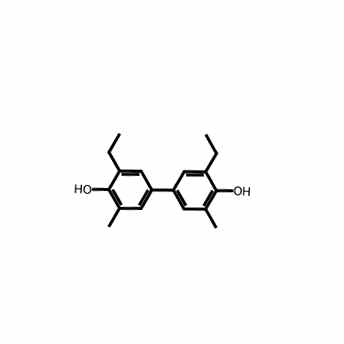 CCc1cc(-c2cc(C)c(O)c(CC)c2)cc(C)c1O